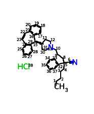 CCCCCC(C#N)(CCCN1CCC(=C2c3ccccc3C=Cc3ccccc32)CC1)c1ccccc1.Cl